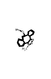 CC(C)OC1Cc2ccccc2-c2c(nnn2C)-c2ccccc21